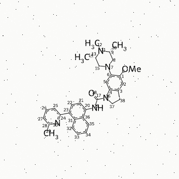 COc1cc2c(cc1N1C[C@@H](C)N(C)[C@@H](C)C1)N(C(=O)Nc1ccc(-c3cccc(C)n3)c3ccccc13)CC2